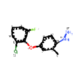 Cc1cc(Oc2c(F)cccc2Cl)ccc1NN